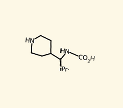 C[C](C)C(NC(=O)O)C1CCNCC1